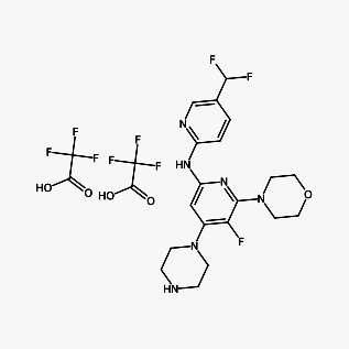 Fc1c(N2CCNCC2)cc(Nc2ccc(C(F)F)cn2)nc1N1CCOCC1.O=C(O)C(F)(F)F.O=C(O)C(F)(F)F